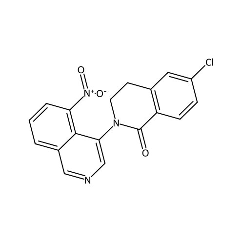 O=C1c2ccc(Cl)cc2CCN1c1cncc2cccc([N+](=O)[O-])c12